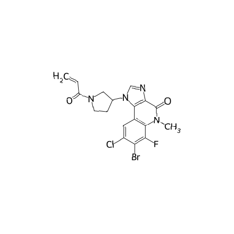 C=CC(=O)N1CCC(n2cnc3c(=O)n(C)c4c(F)c(Br)c(Cl)cc4c32)C1